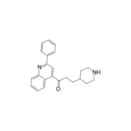 O=C(CCC1CCNCC1)c1cc(-c2ccccc2)nc2ccccc12